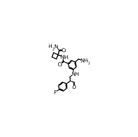 NCc1cc(NCC(C=O)c2ccc(F)cc2)cc(C(=O)NC2(C(N)=O)CCC2)c1